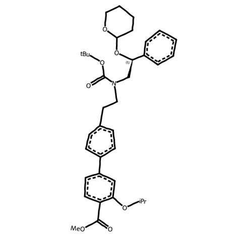 COC(=O)c1ccc(-c2ccc(CCN(C[C@@H](OC3CCCCO3)c3ccccc3)C(=O)OC(C)(C)C)cc2)cc1OC(C)C